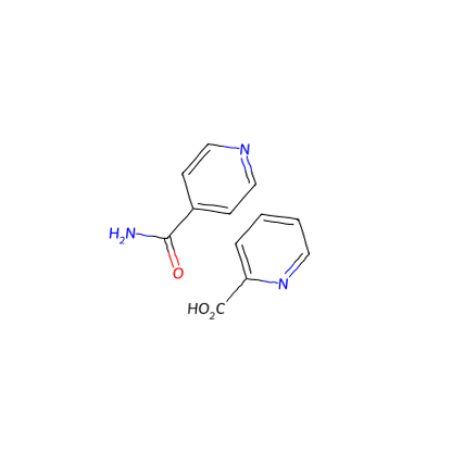 NC(=O)c1ccncc1.O=C(O)c1ccccn1